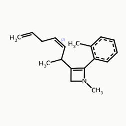 C=CC/C=C\C(C)C1=C(c2ccccc2C)N(C)C1